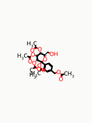 CC(=O)OCc1ccc([C@@]2(OC(C)=O)O[C@H](CO)[C@@H](OC(C)=O)[C@H](OC(C)=O)[C@H]2OC(C)=O)cc1